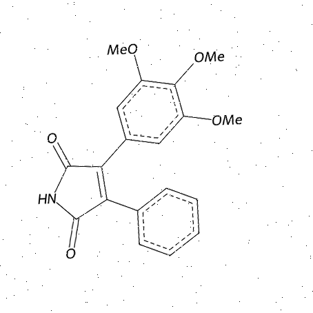 COc1cc(C2=C(c3ccccc3)C(=O)NC2=O)cc(OC)c1OC